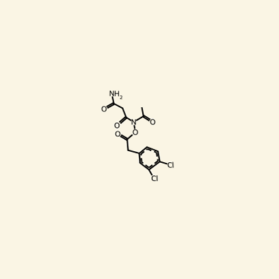 CC(=O)N(OC(=O)Cc1ccc(Cl)c(Cl)c1)C(=O)CC(N)=O